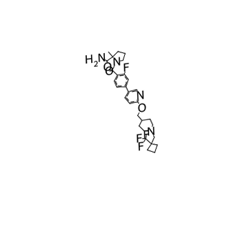 CC1(C(N)=O)CCCN1C(=O)c1ccc(-c2ccc(OCC3CCN(CC4(C(F)(F)F)CCC4)CC3)nc2)cc1F